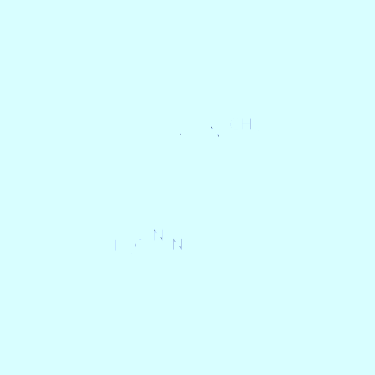 CN1CC2(CCC2)c2cc(-c3cnn(C)c3)ccc21